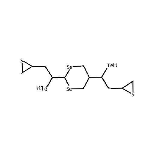 [TeH]C(CC1CS1)C1C[Se]C(C([TeH])CC2CS2)[Se]C1